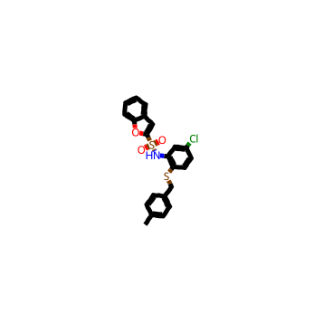 Cc1ccc(CSc2ccc(Cl)cc2NS(=O)(=O)c2cc3ccccc3o2)cc1